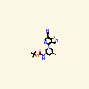 C[C@H]1C[C@@H](NC(=O)OC(C)(C)C)CN(c2ncc(C#N)c3sncc23)C1